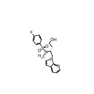 CN([C@H](CCO)Cn1c[c]c2cccnc21)S(=O)(=O)c1ccc(F)cc1